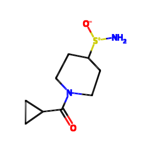 N[S+]([O-])C1CCN(C(=O)C2CC2)CC1